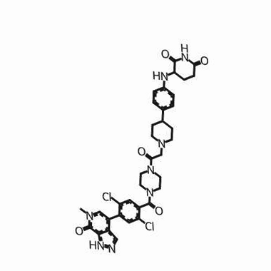 Cn1cc(-c2cc(Cl)c(C(=O)N3CCN(C(=O)CN4CCC(c5ccc(NC6CCC(=O)NC6=O)cc5)CC4)CC3)cc2Cl)c2cn[nH]c2c1=O